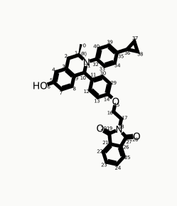 C[C@@H]1Cc2cc(O)ccc2C(c2ccc(OCCN3C(=O)c4ccccc4C3=O)cc2)N1c1ccc(C2CC2)cc1